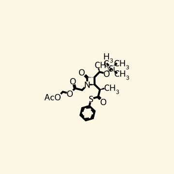 CC(=O)OCOC(=O)CN1C(=O)[C@H]([C@@H](C)O[Si](C)(C)C)[C@H]1[C@@H](C)C(=O)Sc1ccccc1